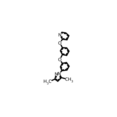 Cc1cc(C)n(-c2cccc(Oc3cccc(Oc4ccccn4)c3)c2)n1